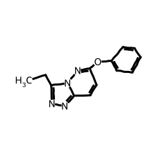 CCc1nnc2ccc(Oc3ccccc3)nn12